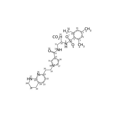 Cc1cc(C)c(S(=O)(=O)NC(CNC(=O)c2ccn(CCc3ccc4c(n3)NCCC4)c2)C(=O)O)c(C)c1